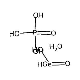 O.O=P(O)(O)O.[O]=[GeH][OH]